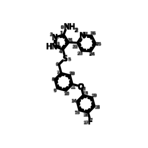 Nc1n[nH]c(SCc2cccc(Oc3ccc(F)cc3)c2)c1-c1ccccn1